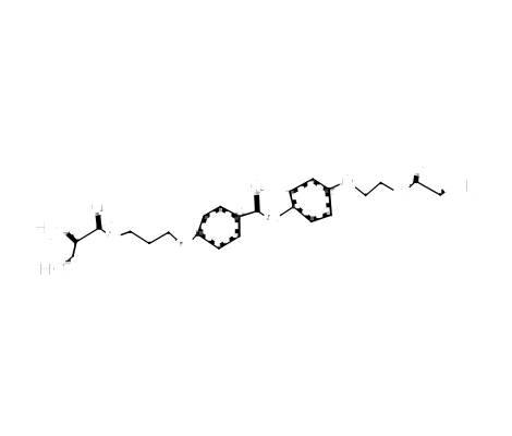 C=CC(=O)OCCOc1ccc(OC(=O)c2ccc(OCCCOC(=O)C(=C)CO)cc2)cc1